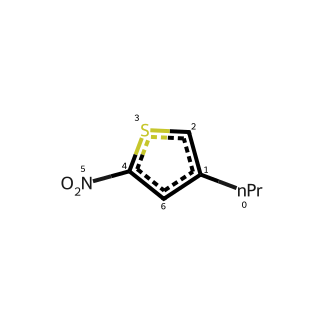 CCCc1csc([N+](=O)[O-])c1